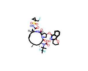 C[C@H]1CCC=C[C@@H]2C[C@@]2(C(=O)NS(=O)(=O)C2(CF)CC2)NC(=O)[C@@H]2C[C@@H](Oc3nc4c(c5ccccc35)OCCC4)CN2C(=O)[C@@H](N(C(=O)O)C(C)(C)C(C)(F)F)[C@H](C)C1